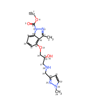 Cc1nn(C(=O)OC(C)(C)C)c2cccc(OC[C@@H](O)CNCc3ccn(C)n3)c12